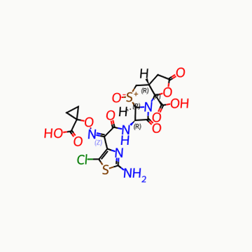 Nc1nc(/C(=N/OC2(C(=O)O)CC2)C(=O)N[C@@H]2C(=O)N3[C@@H]2[S+]([O-])C[C@@H]2CC(=O)O[C@@]23C(=O)O)c(Cl)s1